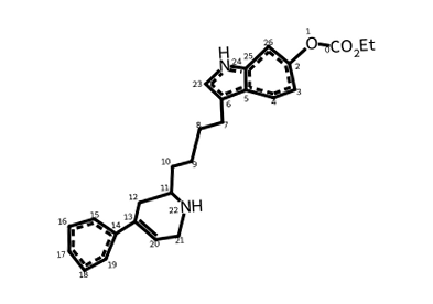 CCOC(=O)Oc1ccc2c(CCCCC3CC(c4ccccc4)=CCN3)c[nH]c2c1